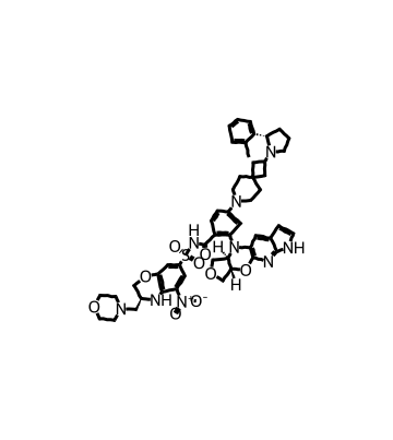 Cc1ccccc1[C@@H]1CCCN1C1CC2(CCN(c3ccc(C(=O)NS(=O)(=O)c4cc5c(c([N+](=O)[O-])c4)N[C@@H](CN4CCOCC4)CO5)c(N4c5cc6cc[nH]c6nc5O[C@@H]5COC[C@H]54)c3)CC2)C1